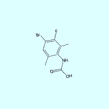 Cc1cc(Br)c(F)c(C)c1NC(=O)O